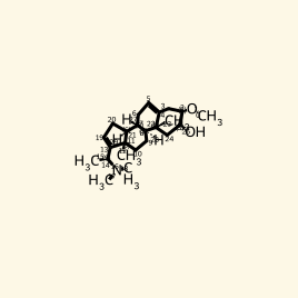 CO[C@@H]1CC2=CC[C@@H]3[C@H](CC[C@]4(C)C([C@H](C)N(C)C)=CC[C@@H]34)[C@@]2(C)C[C@@H]1O